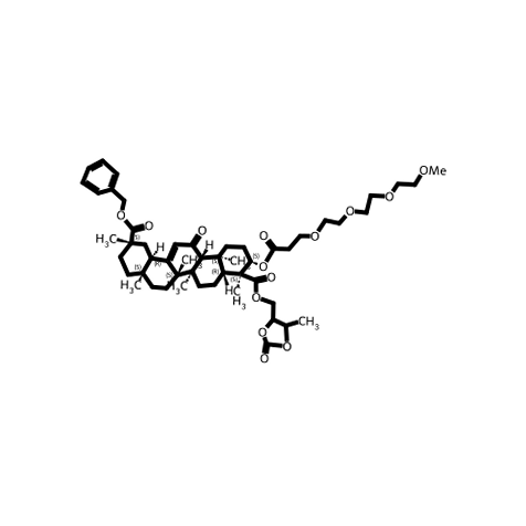 COCCOCCOCCOCCC(=O)O[C@H]1CC[C@@]2(C)[C@@H](CC[C@]3(C)[C@@H]2C(=O)C=C2[C@@H]4C[C@@](C)(C(=O)OCc5ccccc5)CC[C@]4(C)CC[C@]23C)[C@]1(C)C(=O)OCC1OC(=O)OC1C